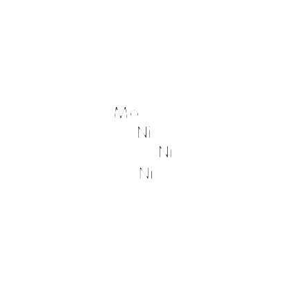 [Mo].[Ni].[Ni].[Ni]